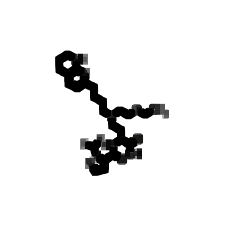 CCOCCN(CCCCc1ccc2c(n1)NCCC2)CCC(NC(=O)c1ccnn1C(F)F)C(=O)O